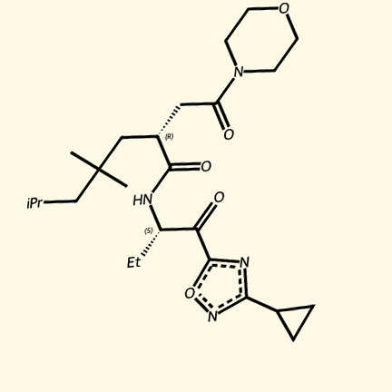 CC[C@H](NC(=O)[C@@H](CC(=O)N1CCOCC1)CC(C)(C)CC(C)C)C(=O)c1nc(C2CC2)no1